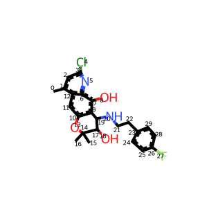 Cc1cc(Cl)nc2c(O)c3c(cc12)OC(C)(C)C(O)C3NCCc1ccc(F)cc1